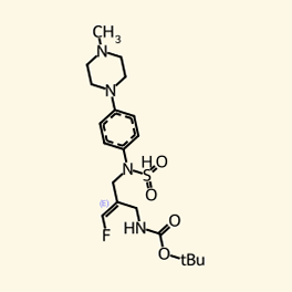 CN1CCN(c2ccc(N(C/C(=C/F)CNC(=O)OC(C)(C)C)[SH](=O)=O)cc2)CC1